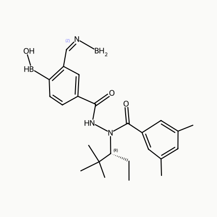 B/N=C\c1cc(C(=O)NN(C(=O)c2cc(C)cc(C)c2)[C@H](CC)C(C)(C)C)ccc1BO